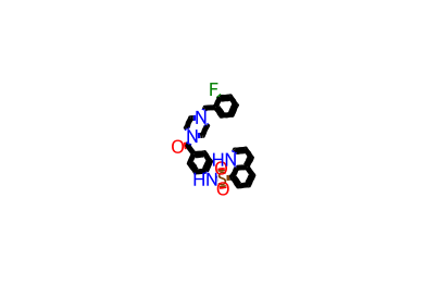 O=C(c1ccc(NS(=O)(=O)C2=CC=CC3=CC=CNC32)cc1)N1CCN(Cc2ccccc2F)CC1